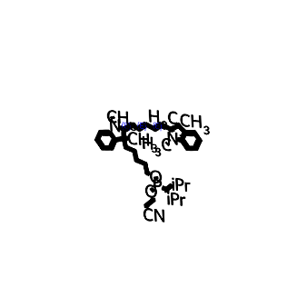 CC(C)C(C(C)C)P(OCCC#N)OCCCCCC1(C)\C(=C/C=C/C=C/C2=[N+](C)c3ccccc3C2(C)C)N(C)c2ccccc21